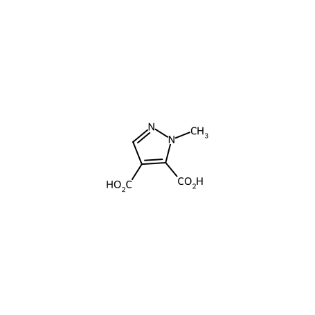 Cn1ncc(C(=O)O)c1C(=O)O